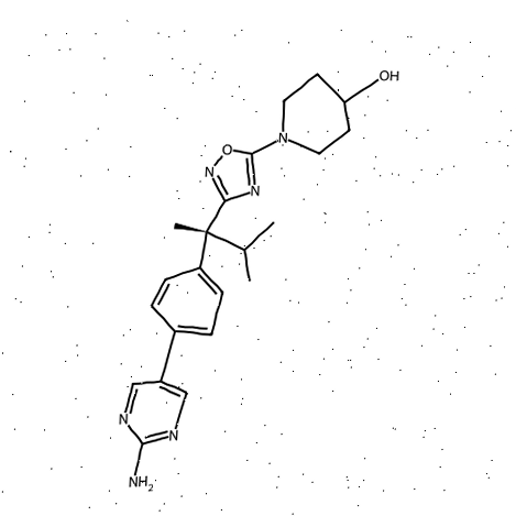 CC(C)[C@](C)(c1ccc(-c2cnc(N)nc2)cc1)c1noc(N2CCC(O)CC2)n1